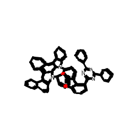 c1ccc(-c2nc(-c3ccccc3)nc(-c3cccc4oc5cc(-n6c7ccccc7c7c8ccccc8c8c9c%10ccccc%10ccc9n(-c9ccccc9)c8c76)ccc5c34)n2)cc1